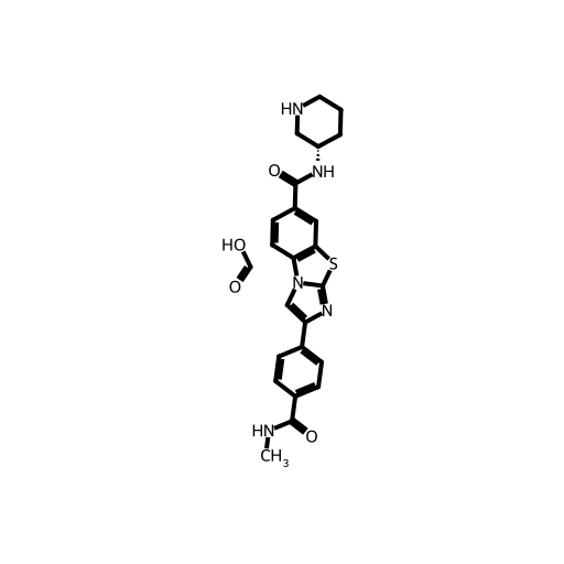 CNC(=O)c1ccc(-c2cn3c(n2)sc2cc(C(=O)N[C@H]4CCCNC4)ccc23)cc1.O=CO